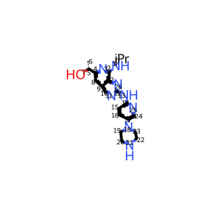 CC(C)Nc1nc([C@@H](C)O)cc2cnc(Nc3ccc(N4CCNCC4)cn3)nc12